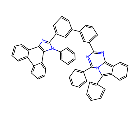 c1ccc(-c2nc(-c3cccc(-c4cccc(-c5nc6c7ccccc7c7ccccc7c6n5-c5ccccc5)c4)c3)nc3c4ccccc4c(-c4ccccc4)n23)cc1